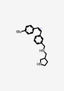 CC(C)(C)c1ccc(/C=C\c2cccc(CNCC3CCNC3)c2)cc1